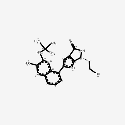 Cc1nc2cccc(-c3cc4c([nH]3)[C@@H](CCO)NC4=O)c2nc1NC(C)(C)C